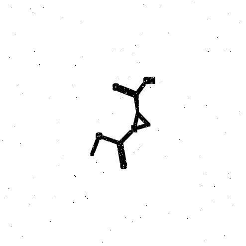 COC(=O)N1C[C@@H]1C(=O)O